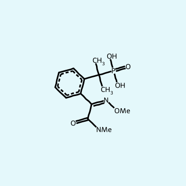 CNC(=O)C(=NOC)c1ccccc1C(C)(C)P(=O)(O)O